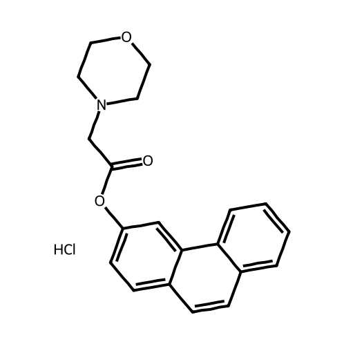 Cl.O=C(CN1CCOCC1)Oc1ccc2ccc3ccccc3c2c1